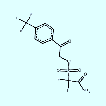 NC(=O)C(F)(F)S(=O)(=O)OCC(=O)c1ccc(C(F)(F)F)cc1